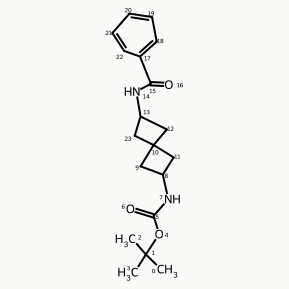 CC(C)(C)OC(=O)NC1CC2(C1)CC(NC(=O)c1ccccc1)C2